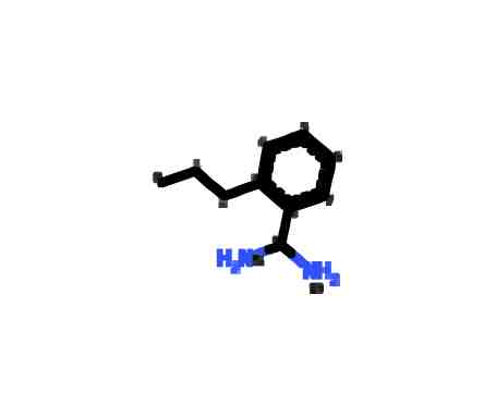 CCCc1ccccc1C(N)N